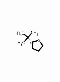 CC(C)(C)[C@H]1CCCS1